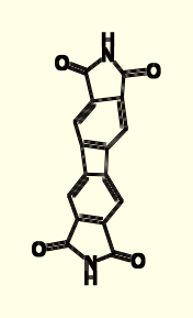 O=c1[nH]c(=O)c2cc3c(cc12)c1cc2c(=O)[nH]c(=O)c2cc31